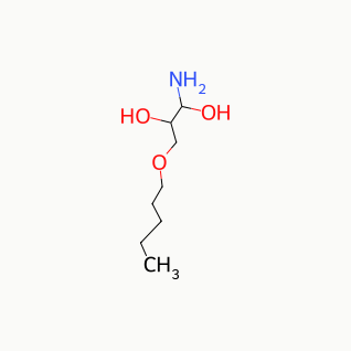 CCCCCOCC(O)C(N)O